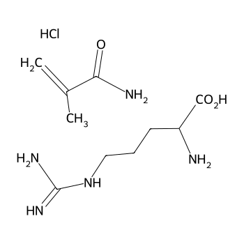 C=C(C)C(N)=O.Cl.N=C(N)NCCCC(N)C(=O)O